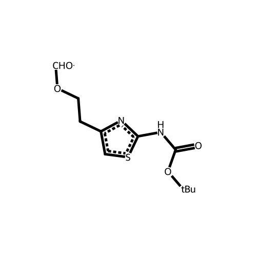 CC(C)(C)OC(=O)Nc1nc(CCO[C]=O)cs1